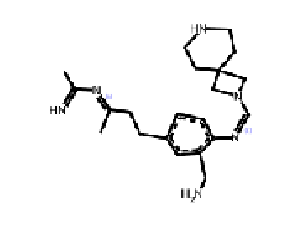 CC(=N)/N=C(\C)CCc1ccc(/N=C\N2CC3(CCNCC3)C2)c(CN)c1